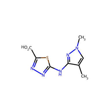 Cc1cn(C)nc1Nc1nnc(C(=O)O)s1